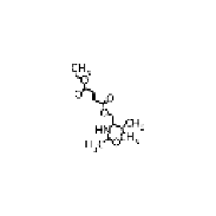 CCOC(=O)/C=C/C(=O)OCC(NC(C)=O)C(C)C